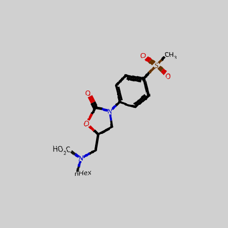 CCCCCCN(CC1CN(c2ccc(S(C)(=O)=O)cc2)C(=O)O1)C(=O)O